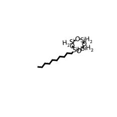 CCCCCCCCCC[SiH]1O[SiH2]O[SiH2]O[SiH2]O1